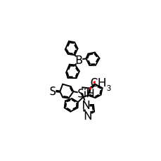 CCC[SiH](C1=CCC(=S)C=C1)C(c1ccccc1)(c1ccccc1)n1ccnc1.c1ccc(B(c2ccccc2)c2ccccc2)cc1